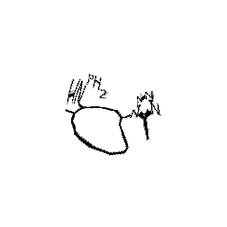 Cc1nnnn1C1CCCCCCC(C)C(NP)CC1